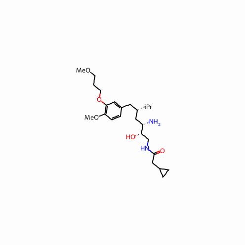 COCCCOc1cc(C[C@@H](C[C@H](N)[C@@H](O)CNC(=O)CC2CC2)C(C)C)ccc1OC